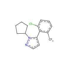 FC(F)(F)c1cccc(Cl)c1-c1ccnn1C1CCCC1